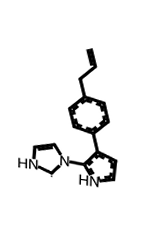 C=CCc1ccc(-c2cc[nH]c2N2[CH]NC=C2)cc1